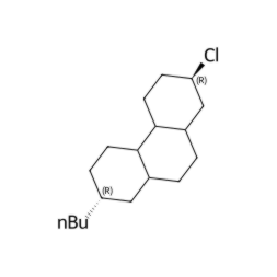 CCCC[C@@H]1CCC2C(CCC3C[C@H](Cl)CCC32)C1